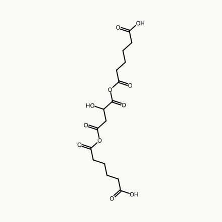 O=C(O)CCCCC(=O)OC(=O)CC(O)C(=O)OC(=O)CCCCC(=O)O